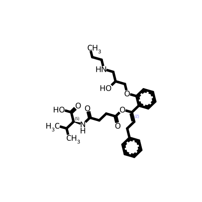 CCCNCC(O)COc1ccccc1/C(=C/Cc1ccccc1)OC(=O)CCC(=O)N[C@H](C(=O)O)C(C)C